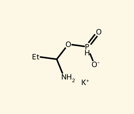 CCC(N)O[PH](=O)[O-].[K+]